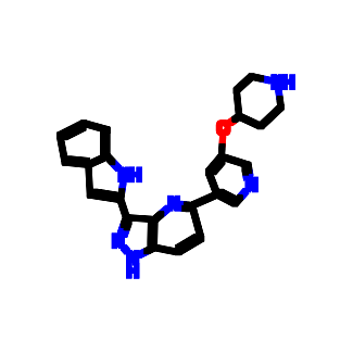 c1ccc2[nH]c(-c3n[nH]c4ccc(-c5cncc(OC6CCNCC6)c5)nc34)cc2c1